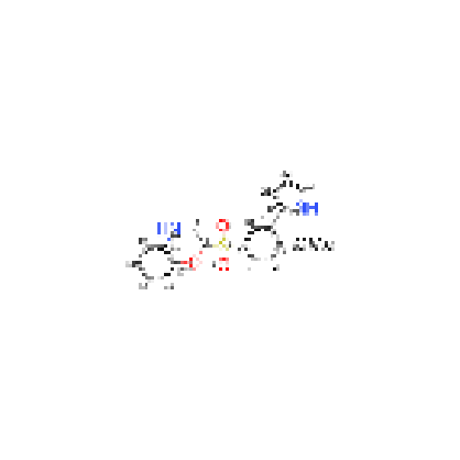 COc1ccc(S(=O)(=O)C2CNc3ccccc3O2)cc1-c1ccc[nH]1